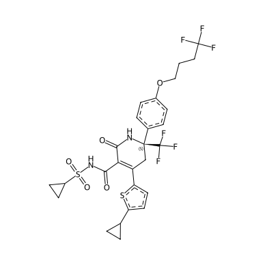 O=C1N[C@@](c2ccc(OCCCC(F)(F)F)cc2)(C(F)(F)F)CC(c2ccc(C3CC3)s2)=C1C(=O)NS(=O)(=O)C1CC1